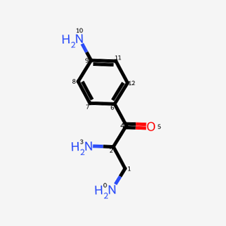 NCC(N)C(=O)c1ccc(N)cc1